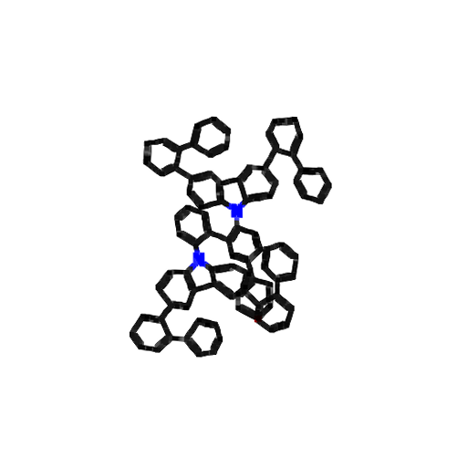 c1ccc(-c2ccc(-n3c4ccc(-c5ccccc5-c5ccccc5)cc4c4cc(-c5ccccc5-c5ccccc5)ccc43)c(-c3ccccc3-n3c4ccc(-c5ccccc5-c5ccccc5)cc4c4cc(-c5ccccc5-c5ccccc5)ccc43)c2)cc1